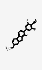 CCc1ccc2c(c1)Cc1c-2ccc(-c2cc(F)c(C#N)c(F)c2)c1F